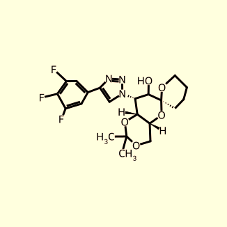 CC1(C)OC[C@H]2O[C@@]3(CCCCO3)C(O)[C@@H](n3cc(-c4cc(F)c(F)c(F)c4)nn3)[C@H]2O1